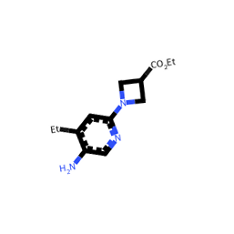 CCOC(=O)C1CN(c2cc(CC)c(N)cn2)C1